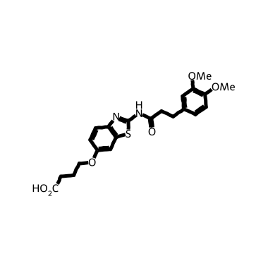 COc1ccc(CCC(=O)Nc2nc3ccc(OCCCC(=O)O)cc3s2)cc1OC